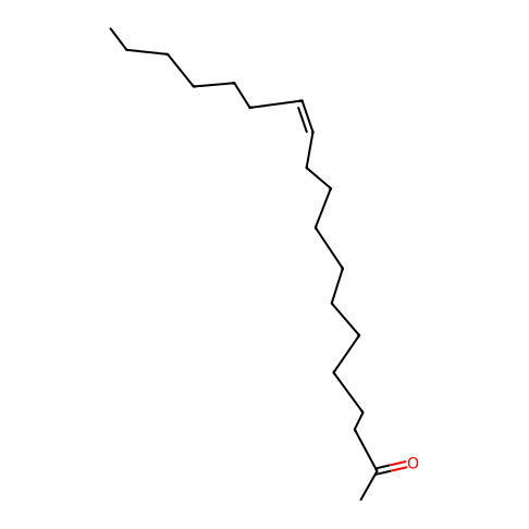 CCCCCC/C=C\CCCCCCCCCC(C)=O